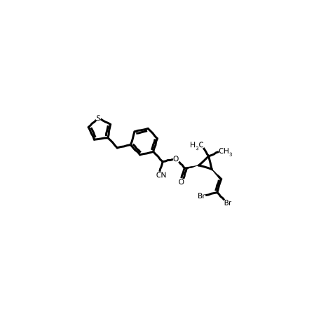 CC1(C)[C@H](C(=O)OC(C#N)c2cccc(Cc3ccsc3)c2)[C@@H]1C=C(Br)Br